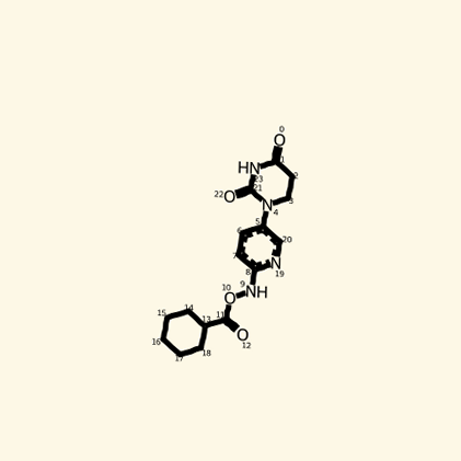 O=C1CCN(c2ccc(NOC(=O)C3CCCCC3)nc2)C(=O)N1